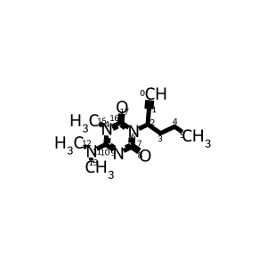 C#CC(CCC)n1c(=O)nc(N(C)C)n(C)c1=O